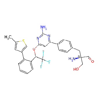 Cc1cc(-c2ccccc2C(Oc2cc(-c3ccc(C[C@](N)(C=O)CO)cc3)nc(N)n2)C(F)(F)F)cs1